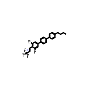 CCCCc1ccc(-c2ccc(-c3cc(F)c(/C=C/C(F)(F)F)c(F)c3)cc2)cc1